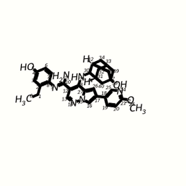 CCc1cc(O)ccc1/N=C(\N)c1cnn2cc(-c3ccc(OC)nc3)cc2c1NC1[C@@H]2CC3C[C@H]1CC(O)(C3)C2